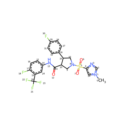 Cn1cnc(S(=O)(=O)N2CC(C(=O)Nc3ccc(F)c(C(F)(F)F)c3)C(c3ccc(F)cc3)C2)c1